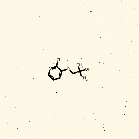 CC(C)(O)COc1cccnc1Cl